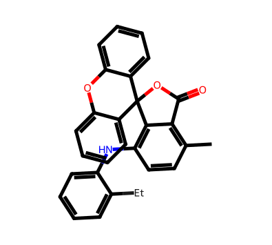 CCc1ccccc1Nc1ccc(C)c2c1C1(OC2=O)c2ccccc2Oc2ccccc21